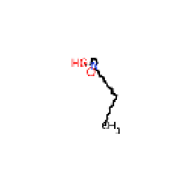 CCCCCCCC/C=C\CCCCCCCCC(=O)N1CCC[C@H]1CO